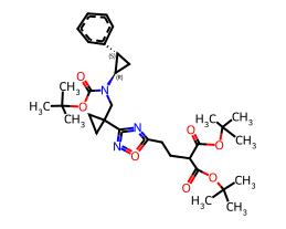 CC(C)(C)OC(=O)C(CCc1nc(C2(CN(C(=O)OC(C)(C)C)[C@@H]3C[C@H]3c3ccccc3)CC2)no1)C(=O)OC(C)(C)C